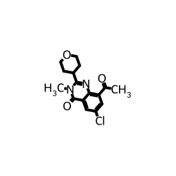 CC(=O)c1cc(Cl)cc2c(=O)n(C)c(C3CCOCC3)nc12